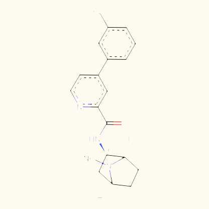 N#CN1[C@H]2CC[C@@H]1[C@H](NC(=O)c1cc(-c3cccc(Cl)c3)ccn1)C2